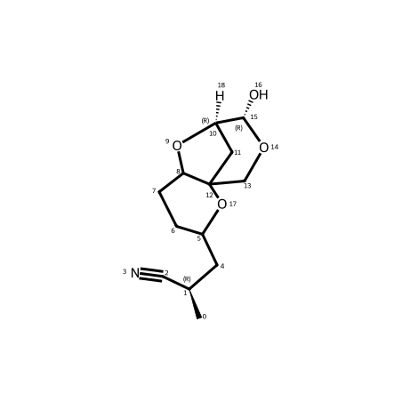 C[C@@H](C#N)CC1CCC2O[C@@H]3CC2(CO[C@H]3O)O1